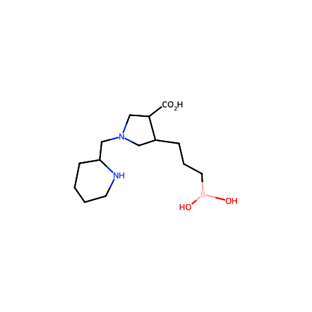 O=C(O)C1CN(CC2CCCCN2)CC1CCCB(O)O